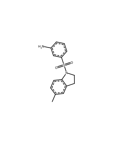 Cc1ccc2c(c1)CCN2S(=O)(=O)c1cccc(N)c1